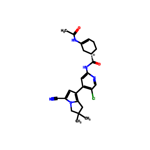 CC(=O)NC1=CCC[C@H](C(=O)Nc2cc(-c3cc(C#N)n4c3CC(C)(C)C4)c(Cl)cn2)C1